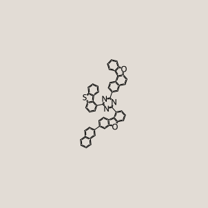 c1ccc2cc(-c3ccc4c(c3)oc3cccc(-c5nc(-c6ccc7c(ccc8oc9ccccc9c87)c6)nc(-c6cccc7sc8ccccc8c67)n5)c34)ccc2c1